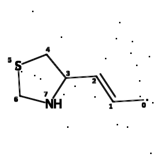 [CH2]C=CC1CSCN1